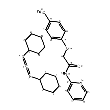 C(=NC1CCCCC1)=NC1CCCCC1.O=Cc1ccc(OCC(=O)Nc2ccccn2)cc1